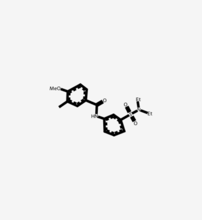 CCN(CC)S(=O)(=O)c1cccc(NC(=O)c2ccc(OC)c(C)c2)c1